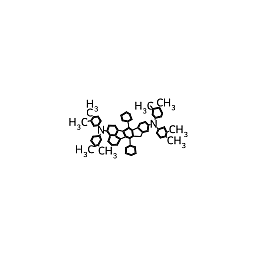 Cc1ccc(N(c2ccc(C)c(C)c2)c2ccc3c(c2)Cc2c(-c4ccccc4)c4c(c(-c5ccccc5)c2-3)-c2ccc(N(c3ccc(C)c(C)c3)c3ccc(C)c(C)c3)c3cccc-4c23)cc1C